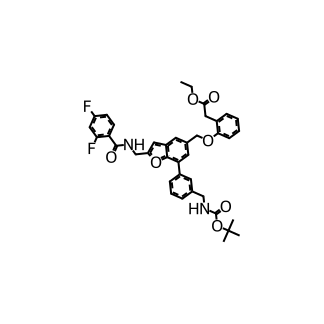 CCOC(=O)Cc1ccccc1OCc1cc(-c2cccc(CNC(=O)OC(C)(C)C)c2)c2oc(CNC(=O)c3ccc(F)cc3F)cc2c1